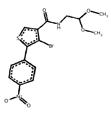 COC(CNC(=O)c1csc(-c2ccc([N+](=O)[O-])cc2)c1Br)OC